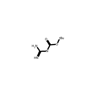 CC(C)(C)OC(=O)[N]C(=N)N